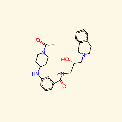 CC(=O)N1CCC(Nc2cccc(C(=O)NC[C@H](O)CN3CCc4ccccc4C3)c2)CC1